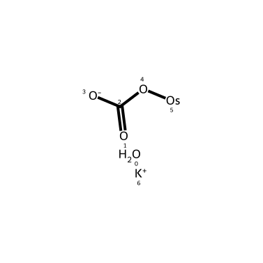 O.O=C([O-])[O][Os].[K+]